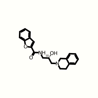 O=C(NC[C@H](O)CN1CCc2ccccc2C1)c1cc2ccccc2o1